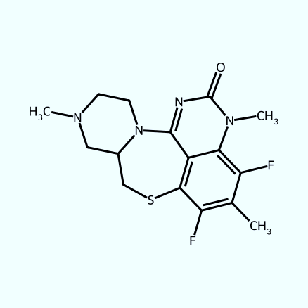 Cc1c(F)c2c3c(nc(=O)n(C)c3c1F)N1CCN(C)CC1CS2